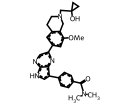 COc1cc(-c2cnc3[nH]cc(-c4ccc(C(=O)N(C)C)cc4)c3n2)cc2c1CN(CC1(O)CC1)CC2